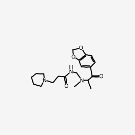 CC(C(=O)c1ccc2c(c1)OCO2)N(C)CNC(=O)CCN1CCCCC1